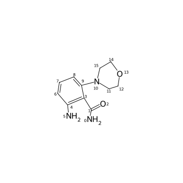 NC(=O)c1c(N)cccc1N1CCOCC1